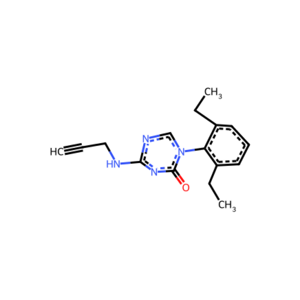 C#CCNc1ncn(-c2c(CC)cccc2CC)c(=O)n1